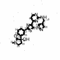 C[C@@H](Nc1nccc(-c2csc(-c3cccc([C@]4(O)CCN(C)C4=O)c3)n2)n1)c1cn[nH]c1